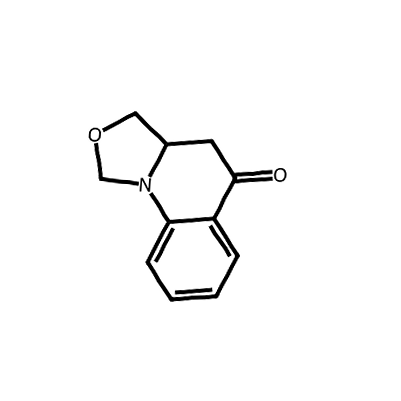 O=C1CC2COCN2c2ccccc21